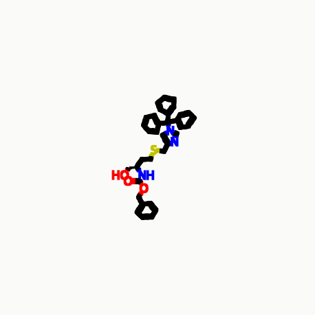 O=C(N[C@H](CO)CCSCc1cn(C(c2ccccc2)(c2ccccc2)c2ccccc2)cn1)OCc1ccccc1